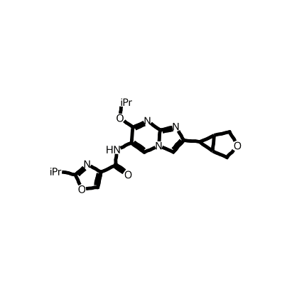 CC(C)Oc1nc2nc(C3C4COCC43)cn2cc1NC(=O)c1coc(C(C)C)n1